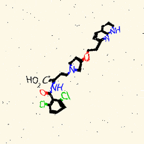 O=C(NC(CCN1CCC(OCCc2ccc3c(n2)NCCC3)C1)C(=O)O)c1c(Cl)cccc1Cl